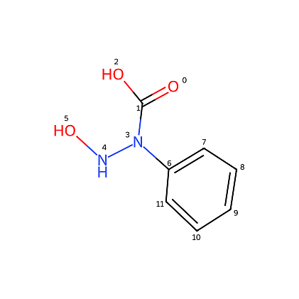 O=C(O)N(NO)c1ccccc1